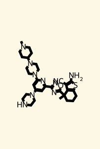 CN1CCC(N2CCN(c3cc(N4CCNCC4)cc(-c4noc(C5(C)CCCc6sc(N)c(C#N)c65)n4)n3)CC2)CC1